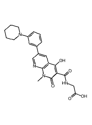 Cn1c(=O)c(C(=O)NCC(=O)O)c(O)c2cc(-c3cccc(N4CCCCC4)c3)cnc21